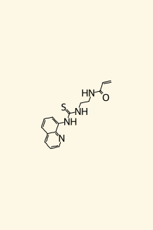 C=CC(=O)NCCNC(=S)Nc1cccc2cccnc12